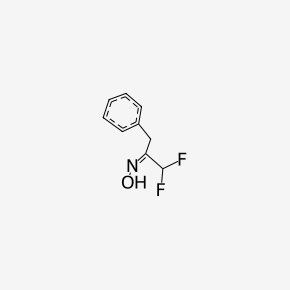 ON=C(Cc1ccccc1)C(F)F